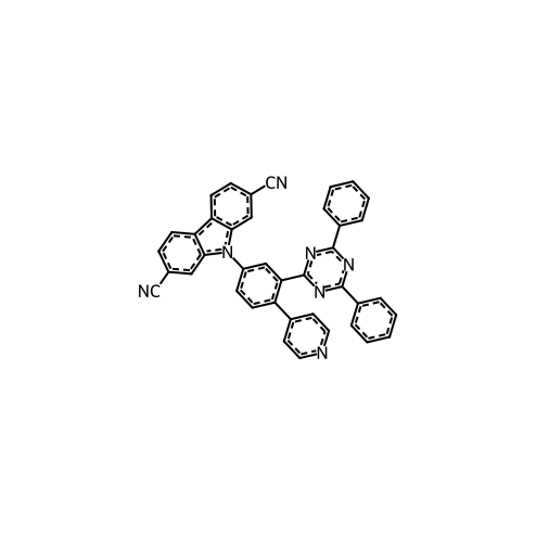 N#Cc1ccc2c3ccc(C#N)cc3n(-c3ccc(-c4ccncc4)c(-c4nc(-c5ccccc5)nc(-c5ccccc5)n4)c3)c2c1